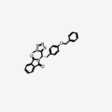 Cn1nnnc1[C@H](Cc1ccc(OCc2ccccc2)cc1)N1C(=O)c2ccccc2C1=O